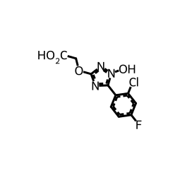 O=C(O)COc1nc(-c2ccc(F)cc2Cl)n(O)n1